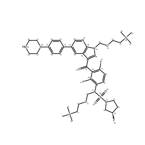 C[Si](C)(C)CCOCN(c1ccc(F)c(C(=O)c2cn(COCC[Si](C)(C)C)c3ncc(-c4ccc(N5CCNCC5)cc4)cc23)c1F)S(=O)(=O)N1CC[C@@H](F)C1